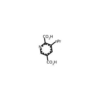 CCCc1cc(C(=O)O)cnc1C(=O)O